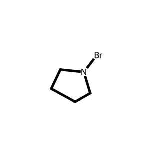 BrN1CCCC1